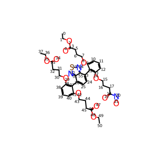 CCOC(=O)CCCOc1cccc(OCCCC(=O)N=O)c1-c1ccc(-c2c(OCCCC(=O)OCC)cccc2OCCCC(=O)OCC)c2nsnc12